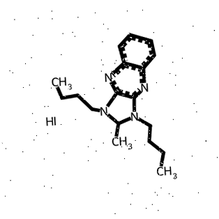 CCCCN1c2nc3ccccc3nc2N(CCCC)C1C.I